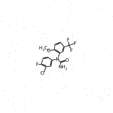 COc1ccc(C(F)(F)F)cc1N(C(N)=O)c1ccc(F)c(Cl)c1